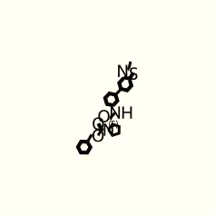 Cc1nc2cc(-c3cccc(NC(=O)[C@@H]4CCCN4C(=O)OCc4ccccc4)c3)ccc2s1